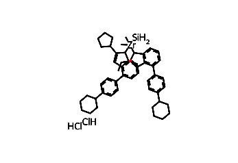 CCC1=Cc2c(-c3ccc(C4CCCCC4)cc3)cccc2[CH]1[Zr]([CH3])([CH3])(=[SiH2])[CH]1C(C2CCCC2)=Cc2c(-c3ccc(C4CCCCC4)cc3)cccc21.Cl.Cl